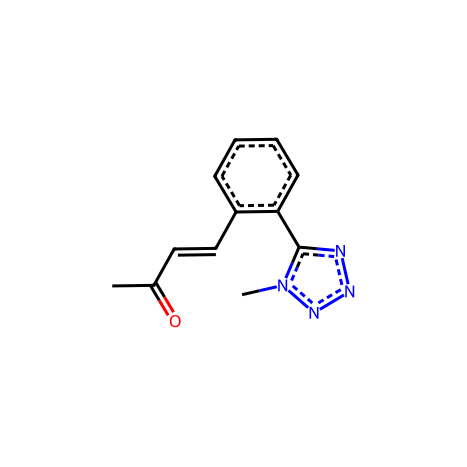 CC(=O)C=Cc1ccccc1-c1nnnn1C